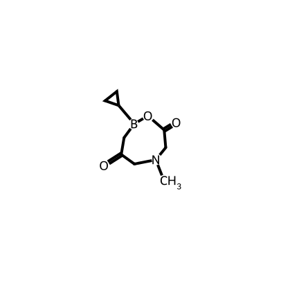 CN1CC(=O)CB(C2CC2)OC(=O)C1